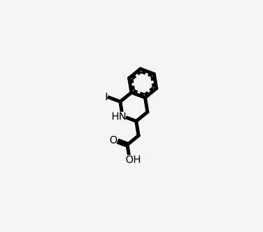 O=C(O)CC1Cc2ccccc2C(I)N1